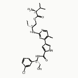 CC[C@H](COC(=O)[C@@H](N)C(C)C)Nc1ncc(C)c(-c2c[nH]c(C(=O)N[C@H](CO)c3cccc(Cl)c3)c2)n1